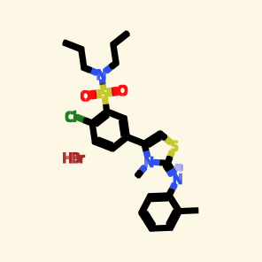 Br.CCCN(CCC)S(=O)(=O)c1cc(-c2cs/c(=N/c3ccccc3C)n2C)ccc1Cl